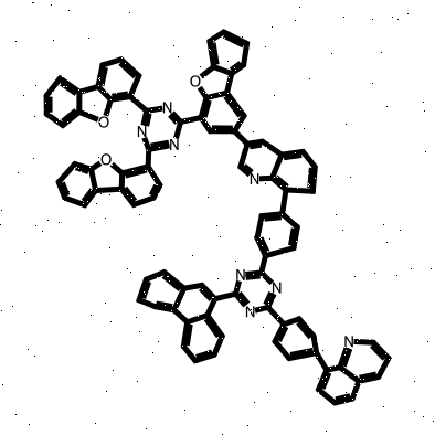 c1cnc2c(-c3ccc(-c4nc(-c5ccc(-c6cccc7cc(-c8cc(-c9nc(-c%10cccc%11c%10oc%10ccccc%10%11)nc(-c%10cccc%11c%10oc%10ccccc%10%11)n9)c9oc%10ccccc%10c9c8)cnc67)cc5)nc(-c5cc6ccccc6c6ccccc56)n4)cc3)cccc2c1